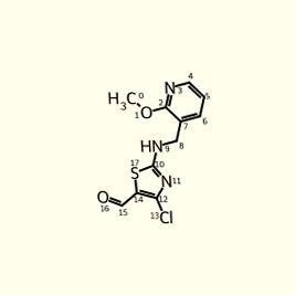 COc1ncccc1CNc1nc(Cl)c(C=O)s1